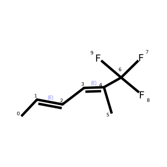 C/C=C/C=C(\C)C(F)(F)F